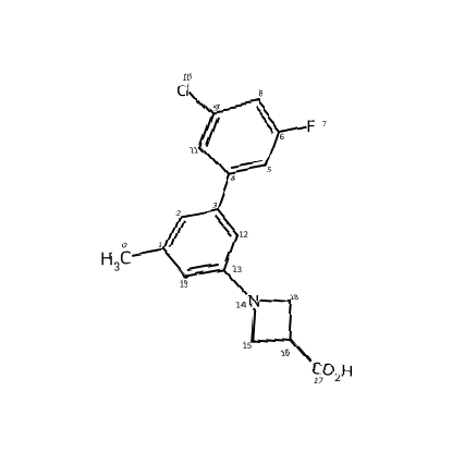 Cc1cc(-c2cc(F)cc(Cl)c2)cc(N2CC(C(=O)O)C2)c1